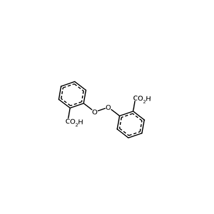 O=C(O)c1ccccc1OOc1ccccc1C(=O)O